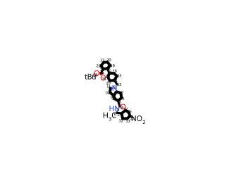 C[C@@H](NC(=O)c1ccc2c(ccn2Cc2ccc(-c3ccccc3C(=O)OC(C)(C)C)cc2)c1)c1ccc([N+](=O)[O-])cc1